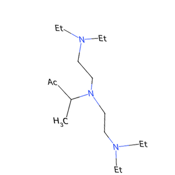 CCN(CC)CCN(CCN(CC)CC)C(C)C(C)=O